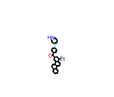 C1=CC=CNC=C1.CCC1CC(C(=O)c2ccc(F)cc2)C=c2c1ccc1c2=CCc2ccccc2-1